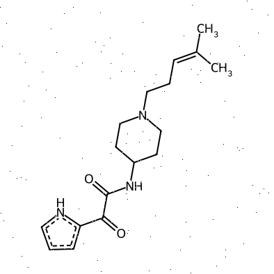 CC(C)=CCCN1CCC(NC(=O)C(=O)c2ccc[nH]2)CC1